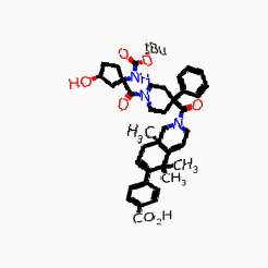 CC(C)(C)OC(=O)NC1(C(=O)N2CCC(C(=O)N3CC=C4C(C)(C)C(c5ccc(C(=O)O)cc5)=CC[C@]4(C)C3)(c3ccccc3)CC2)CCC(O)C1